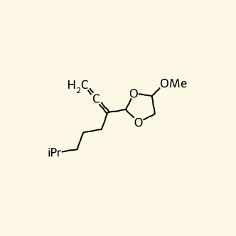 C=C=C(CCCC(C)C)C1OCC(OC)O1